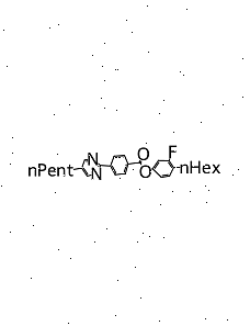 CCCCCCc1ccc(OC(=O)c2ccc(-c3ncc(CCCCC)cn3)cc2)cc1F